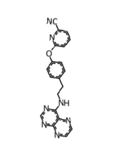 N#Cc1cccc(Oc2ccc(CCNc3ncnc4nccnc34)cc2)n1